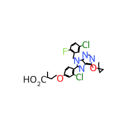 C[C@@H](CCOc1ccc(-c2nc3c(OC4(C)CC4)ncnc3n2Cc2cc(Cl)ccc2F)c(Cl)c1)C(=O)O